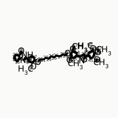 COc1cc(C2NC(=O)c3ccccc3N2)ccc1OCCCCCCCCCCOc1c(OC)cc(-c2cc(-c3cc(OC)c(OC)c(OC)c3)on2)cc1OC